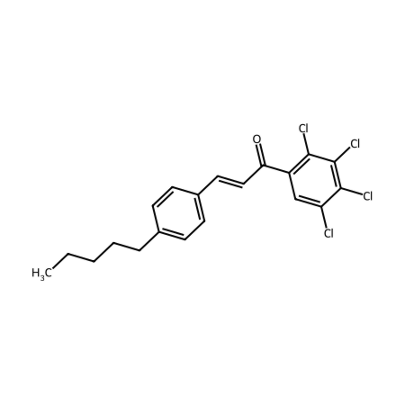 CCCCCc1ccc(C=CC(=O)c2cc(Cl)c(Cl)c(Cl)c2Cl)cc1